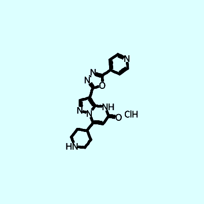 Cl.O=c1cc(C2CCNCC2)n2ncc(-c3nnc(-c4ccncc4)o3)c2[nH]1